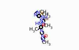 CCc1cc(Nc2ncc(Br)c(Nc3ccc4nccnc4c3P(C)C)n2)c(OC)cc1N1CCC(N2CCN(C)CC2=O)CC1